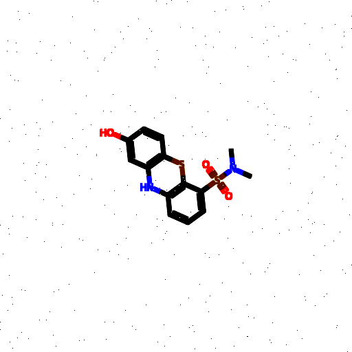 CN(C)S(=O)(=O)c1cccc2c1Sc1ccc(O)cc1N2